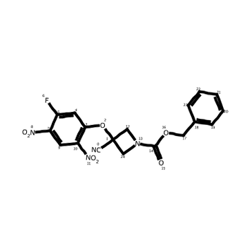 N#CC1(Oc2cc(F)c([N+](=O)[O-])cc2[N+](=O)[O-])CN(C(=O)OCc2ccccc2)C1